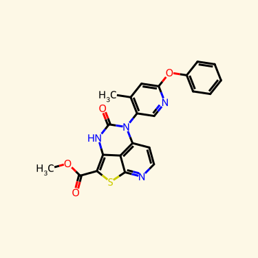 COC(=O)c1sc2nccc3c2c1NC(=O)N3c1cnc(Oc2ccccc2)cc1C